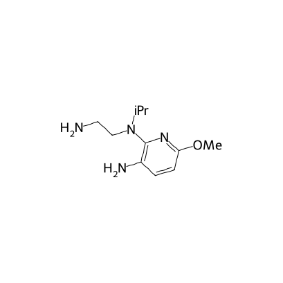 COc1ccc(N)c(N(CCN)C(C)C)n1